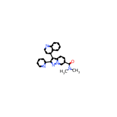 CN(C)C(=O)c1ccc2c(-c3ccnc4ccccc34)c(-c3ccccn3)nn2c1